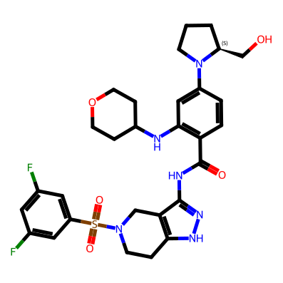 O=C(Nc1n[nH]c2c1CN(S(=O)(=O)c1cc(F)cc(F)c1)CC2)c1ccc(N2CCC[C@H]2CO)cc1NC1CCOCC1